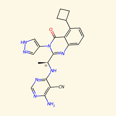 C[C@H](Nc1ncnc(N)c1C#N)c1nc2cccc(C3CCC3)c2c(=O)n1-c1cn[nH]c1